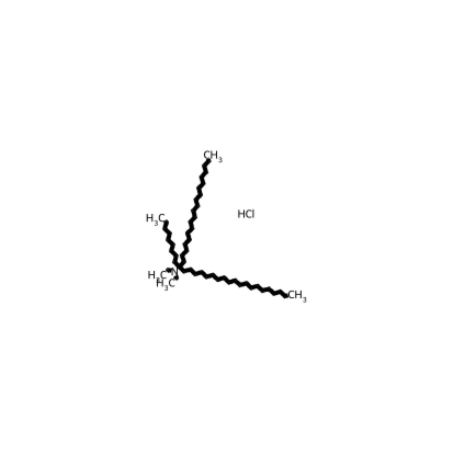 CCCCCCCCCCCCCCCCCCCCC(CCCCCCCCC)(CCCCCCCCCCCCCCCCCCCC)N(CC)CC.Cl